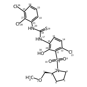 COC[C@@H]1CCCN1S(=O)(=O)c1c(Cl)ccc(NC(=S)Nc2cccc(Cl)c2Cl)c1O